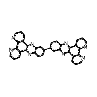 c1cnc2c(c1)c1nc3ccc(-c4ccc5nc6c7cccnc7c7ncccc7c6nc5c4)cc3nc1c1cccnc12